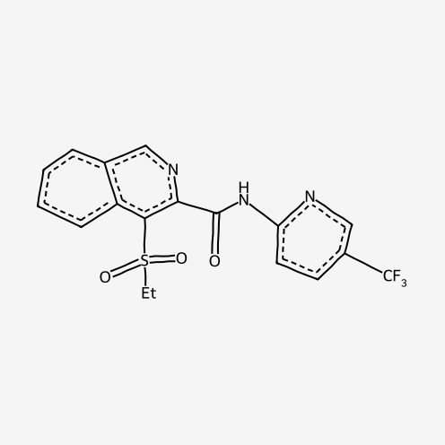 CCS(=O)(=O)c1c(C(=O)Nc2ccc(C(F)(F)F)cn2)ncc2ccccc12